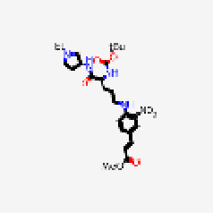 CCN1CC[C@@H](NC(=O)[C@H](CCCNc2ccc(/C=C/C(=O)OC)cc2[N+](=O)[O-])NC(=O)OC(C)(C)C)C1